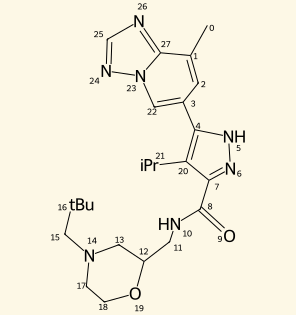 Cc1cc(-c2[nH]nc(C(=O)NCC3CN(CC(C)(C)C)CCO3)c2C(C)C)cn2ncnc12